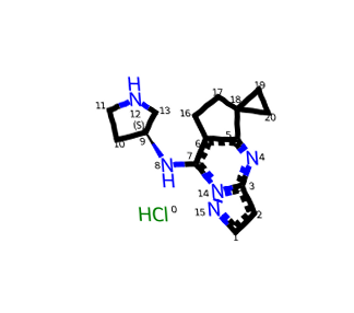 Cl.c1cc2nc3c(c(N[C@H]4CCNC4)n2n1)CCC31CC1